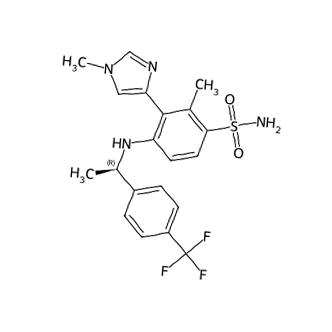 Cc1c(S(N)(=O)=O)ccc(N[C@H](C)c2ccc(C(F)(F)F)cc2)c1-c1cn(C)cn1